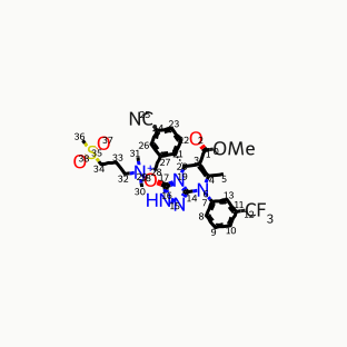 COC(=O)C1=C(C)N(c2cccc(C(F)(F)F)c2)c2n[nH]c(=O)n2[C@@H]1c1ccc(C#N)cc1C[N+](C)(C)CCCS(C)(=O)=O